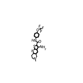 CN1CCc2nc3sc(C(=O)Nc4ccc(OC(F)(F)F)cc4)c(N)c3cc2C1